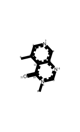 Cc1cncc2ncn(C)c(=O)c12